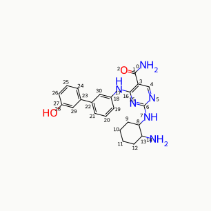 NC(=O)c1cnc(NC2CCCCC2N)nc1Nc1cccc(-c2cccc(O)c2)c1